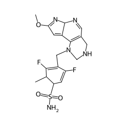 COC1=NC2N=CC3=C(C2=C1)N(CC1=C(F)C(C)C(S(N)(=O)=O)C=C1F)CNC3